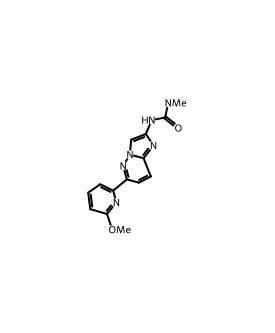 CNC(=O)Nc1cn2nc(-c3cccc(OC)n3)ccc2n1